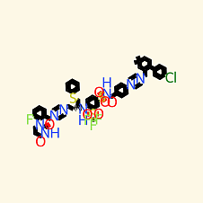 CC1(C)CCC(c2ccc(Cl)cc2)=C(CN2CCN(c3ccc(C(=O)NS(=O)(=O)c4ccc(N[C@H](CCN5CCN(Cc6cccc(F)c6N6CCC(=O)NC6=O)CC5)CSc5ccccc5)c(S(=O)(=O)C(F)(F)F)c4)cc3)CC2)C1